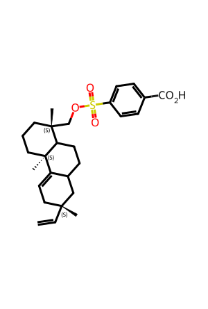 C=C[C@]1(C)CC=C2C(CCC3[C@@](C)(COS(=O)(=O)c4ccc(C(=O)O)cc4)CCC[C@]23C)C1